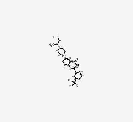 C=C(CC)N1CCN(c2ccc3nc(-c4cc(C(F)(F)F)ccn4)[nH]c(=O)c3c2)CC1